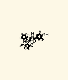 CC[C@@H]1OCC(=O)[C@H]1NC(=O)[C@H](CC1(C)CCCC1)NC(=O)c1cc(F)c(O)c(F)c1